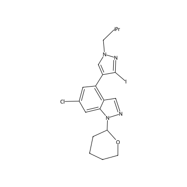 CC(C)Cn1cc(-c2cc(Cl)cc3c2cnn3C2CCCCO2)c(I)n1